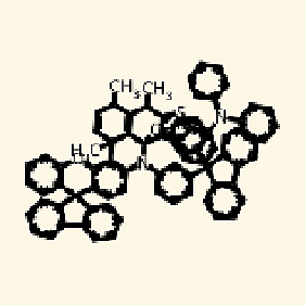 CC1C=CC2(C)C3=C1C(C)c1sc4c(N(c5ccccc5)c5ccccc5)cccc4c1C3(C)N(c1cccc(C3(c4ccccc4)c4ccccc4-c4ccccc43)c1)c1ccc3c(c12)Oc1ccccc1C31c2ccccc2-c2ccccc21